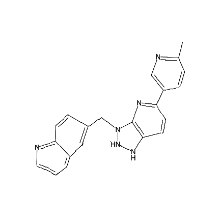 Cc1ccc(-c2ccc3c(n2)N(Cc2ccc4ncccc4c2)NN3)cn1